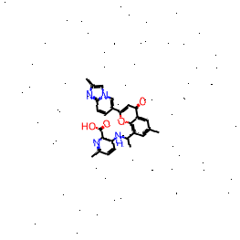 Cc1cc(C(C)Nc2ccc(C)nc2C(=O)O)c2oc(-c3ccc4nc(C)cn4c3)cc(=O)c2c1